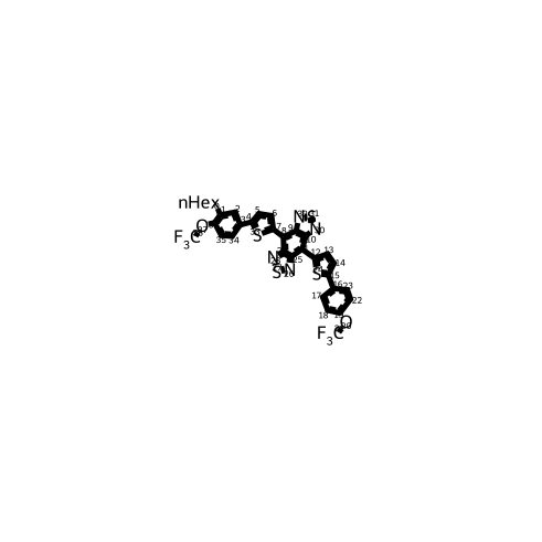 CCCCCCc1cc(-c2ccc(-c3c4c(c(-c5ccc(-c6ccc(OC(F)(F)F)cc6)s5)c5nsnc35)N=S=N4)s2)ccc1OC(F)(F)F